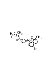 Cn1ccc2c(Br)cnc(N[C@H]3CCN(C(=O)OC(C)(C)C)C3)c2c1=O